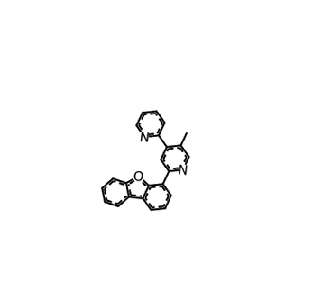 Cc1cnc(-c2cccc3c2oc2ccccc23)cc1-c1ccccn1